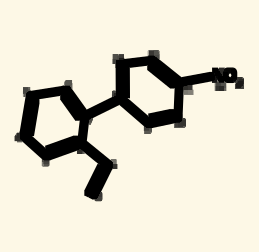 C=Cc1ccccc1-c1ccc([N+](=O)[O-])cc1